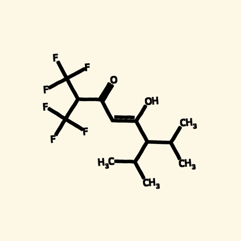 CC(C)C(/C(O)=C/C(=O)C(C(F)(F)F)C(F)(F)F)C(C)C